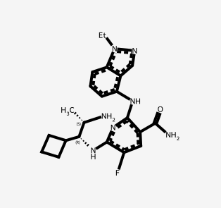 CCn1ncc2c(Nc3nc(N[C@H](C4CCC4)[C@H](C)N)c(F)cc3C(N)=O)cccc21